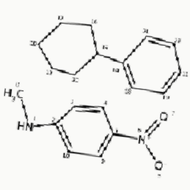 CNc1ccc([N+](=O)[O-])cc1.c1ccc(C2CCCCC2)cc1